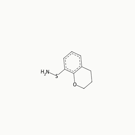 NSc1cccc2c1OCCC2